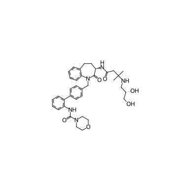 CC(C)(CC(=O)N[C@@H]1CCc2ccccc2N(Cc2ccc(-c3ccccc3NC(=O)N3CCOCC3)cc2)C1=O)NC[C@H](O)CO